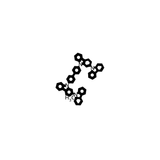 CC12C=CC=CC1c1ccccc1N2c1ccc2c3ccccc3n(-c3ccc(-c4ccc(-n5c6c(c7ccccc75)CCC(N5c7ccccc7C7C=CC=CC75)=C6)cc4)cc3)c2c1